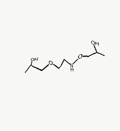 CC(O)COCCNOCC(C)O